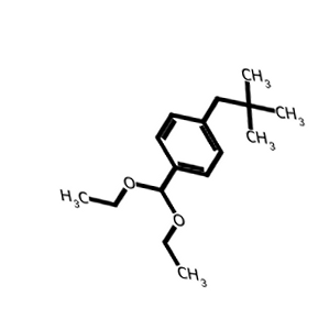 CCOC(OCC)c1ccc(CC(C)(C)C)cc1